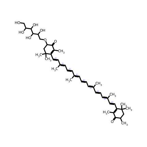 CC1=C(/C=C/C(C)=C/C=C/C(C)=C/C=C/C=C(C)/C=C/C=C(C)/C=C/C2=C(C)C(=O)C(OCC(O)C(O)C(O)C(O)CO)CC2(C)C)C(C)(C)CC(C)C1=O